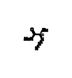 CCC(C)[C@H](N=[N+]=[N-])C(=O)NC